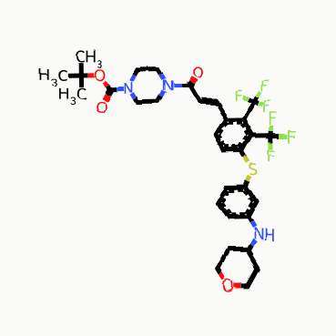 CC(C)(C)OC(=O)N1CCN(C(=O)C=Cc2ccc(Sc3cccc(NC4CCOCC4)c3)c(C(F)(F)F)c2C(F)(F)F)CC1